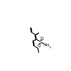 C=C/C(C)=C(\C=C/CC)S(N)(=O)=O